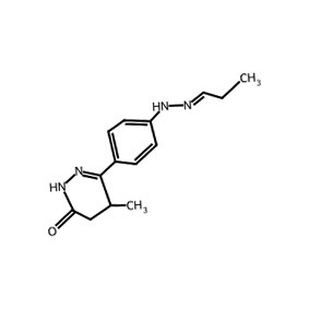 CC/C=N/Nc1ccc(C2=NNC(=O)CC2C)cc1